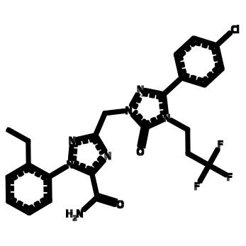 CCc1ccccc1-n1nc(Cn2nc(-c3ccc(Cl)cc3)n(CCC(F)(F)F)c2=O)nc1C(N)=O